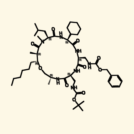 CCCCCC[C@H]1OC[C@@H](C)NC(=O)[C@H](CNC(=O)OC(C)(C)C)NC(=O)[C@H](CNC(=O)OCc2ccccc2)NC(=O)[C@H](C2CCCCC2)NC(=O)[C@H](CC(C)C)N(C)C(=O)[C@@H]1C